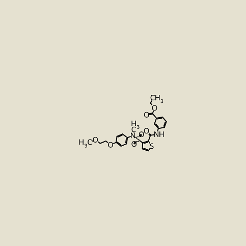 CCOC(=O)c1cccc(NC(=O)c2sccc2S(=O)(=O)N(C)c2ccc(OCCOC)cc2)c1